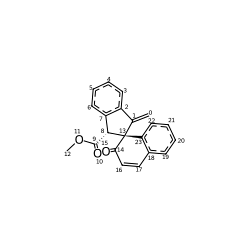 C=C1c2ccccc2[C@@H](C(=O)OC)[C@@]12C(=O)C=Cc1ccccc12